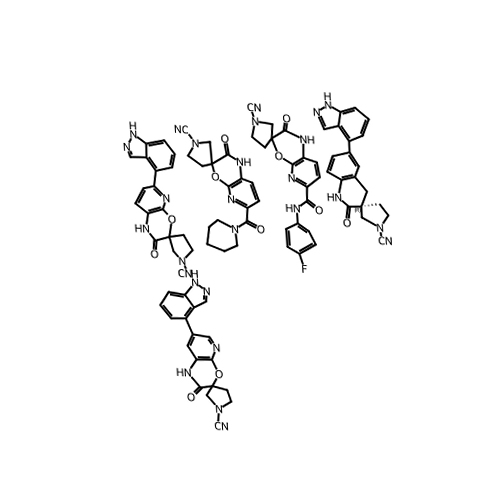 N#CN1CCC2(C1)Oc1nc(-c3cccc4[nH]ncc34)ccc1NC2=O.N#CN1CCC2(C1)Oc1nc(C(=O)N3CCCCC3)ccc1NC2=O.N#CN1CCC2(C1)Oc1nc(C(=O)Nc3ccc(F)cc3)ccc1NC2=O.N#CN1CCC2(C1)Oc1ncc(-c3cccc4[nH]ncc34)cc1NC2=O.N#CN1CC[C@]2(Cc3cc(-c4cccc5[nH]ncc45)ccc3NC2=O)C1